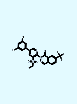 CCS(=O)(=O)c1cc(-c2cc(Cl)cc(Cl)c2)cnc1-n1ncc2ccc(C(F)(F)F)cc2c1=O